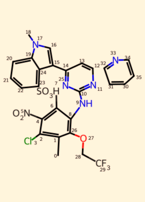 Cc1c(Cl)c([N+](=O)[O-])c(S(=O)(=O)O)c(Nc2nccc(-c3cn(C)c4ccccc34)n2)c1OCC(F)(F)F.c1ccncc1